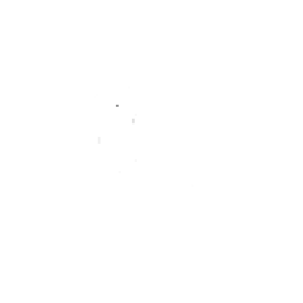 CC(=O)N[C@H](C(=O)N[C@H](CC(=O)O)C(=O)N[C@H](C(=O)N1CCc2cc(C)ccc2[C@H]1C(=O)N[C@H](C=O)CC(=O)O)C(C)C)C(C)C